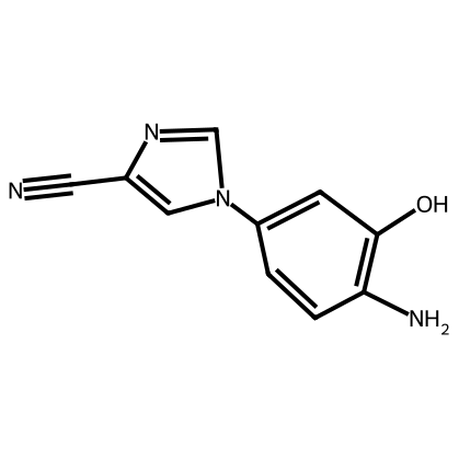 N#Cc1cn(-c2ccc(N)c(O)c2)cn1